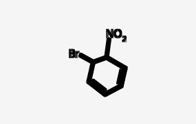 O=[N+]([O-])C1C=CC=CC1Br